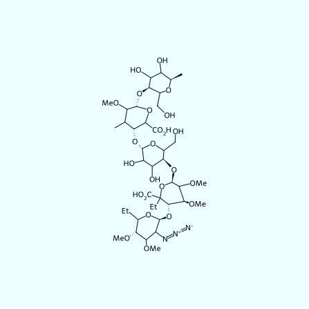 CCC1O[C@@H](O[C@H]2[C@H](OC)C(OC)[C@H](O[C@@H]3C(CO)O[C@@H](O[C@H]4C(C(=O)O)O[C@@H](O[C@@H]5C(CO)O[C@H](C)C(O)C5O)C(OC)C4C)C(O)C3O)OC2(CC)C(=O)O)C(N=[N+]=[N-])C(OC)[C@@H]1OC